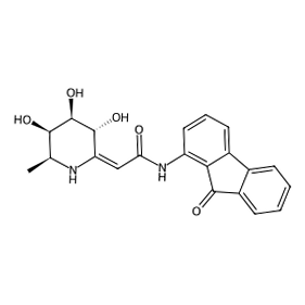 C[C@@H]1N/C(=C/C(=O)Nc2cccc3c2C(=O)c2ccccc2-3)[C@@H](O)[C@H](O)[C@@H]1O